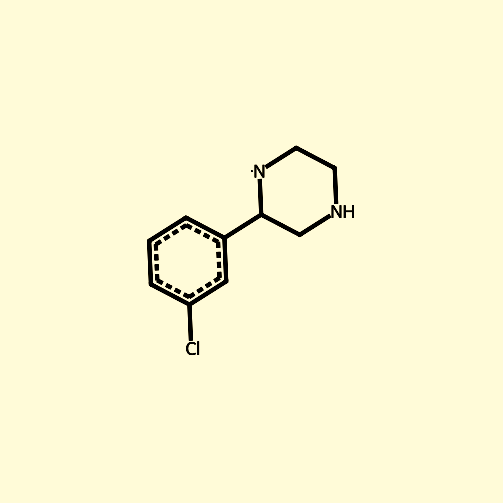 Clc1cccc(C2CNCC[N]2)c1